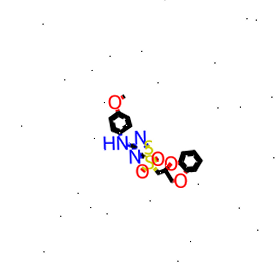 COc1ccc(Nc2nsc(S(=O)(=O)CC3COc4ccccc4O3)n2)cc1